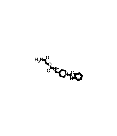 NC(=O)COC(=O)NCC1CCN(c2nc3ccccc3o2)CC1